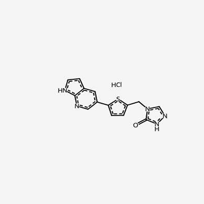 Cl.O=c1[nH]ncn1Cc1ccc(-c2cnc3[nH]ccc3c2)s1